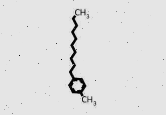 CCCCCCCCCCc1ccc(C)cc1